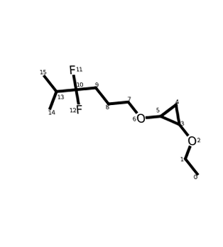 CCOC1CC1OCCCC(F)(F)C(C)C